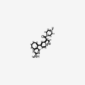 CNc1ncc2c(n1)CCCC=C2c1ccn2ncc(C(=O)N3CCN(C)CC3)c2c1